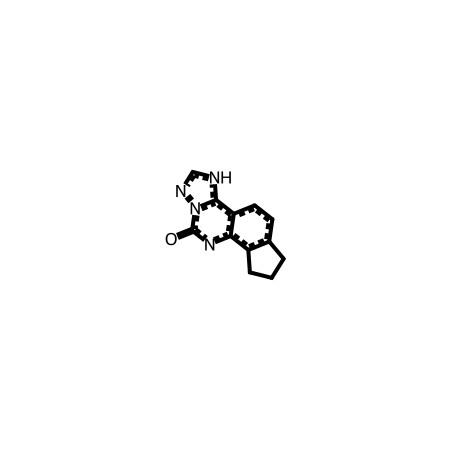 O=c1nc2c3c(ccc2c2[nH]cnn12)CCC3